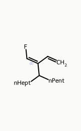 C=C/C(=C\F)C(CCCCC)CCCCCCC